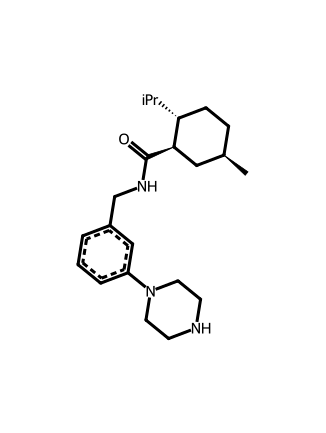 CC(C)[C@@H]1CC[C@@H](C)C[C@H]1C(=O)NCc1cccc(N2CCNCC2)c1